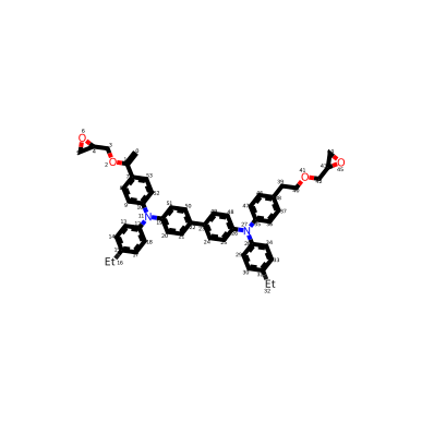 C=C(OCC1CO1)c1ccc(N(c2ccc(CC)cc2)c2ccc(-c3ccc(N(c4ccc(CC)cc4)c4ccc(CCOCC5CO5)cc4)cc3)cc2)cc1